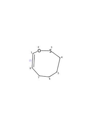 C1=C\OSCCCC/1